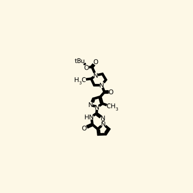 Cc1c(C(=O)N2CCN(C(=O)OC(C)(C)C)C(C)C2)cnn1-c1nn2cccc2c(=O)[nH]1